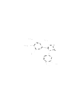 COc1ccc(-n2c(-c3cc(C(C)C)c(OC)c(OC)c3OC)n[nH]c2=S)cc1OC